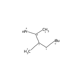 [CH2]CC(C)CC(C)C(C)CCC